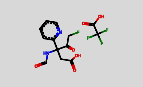 O=C(O)C(F)(F)F.O=CNC(CC(=O)O)(C(=O)CF)c1ccccn1